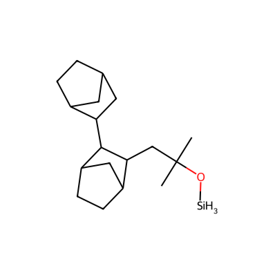 CC(C)(CC1C2CCC(C2)C1C1CC2CCC1C2)O[SiH3]